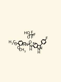 COc1ccc(CNC(=O)Nc2cc3[nH]nc(-c4ccc(F)cc4)c3cn2)cc1OC.O=C(O)C(F)(F)F